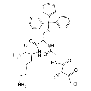 NCCCC[C@H](NC(=O)[C@H](CSC(c1ccccc1)(c1ccccc1)c1ccccc1)NC(=O)CNC(=O)[C@@H](N)C(=O)CCl)C(N)=O